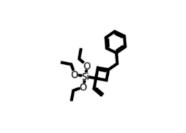 C=CC1([Si](OCC)(OCC)OCC)C=C(Cc2ccccc2)C1